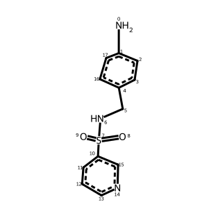 Nc1ccc(CNS(=O)(=O)c2cccnc2)cc1